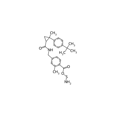 Cc1cc(CNC(=O)C2CC2(C)c2ccc(C(C)(C)C)cc2)ccc1C(=O)OSN